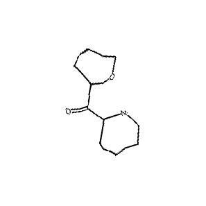 O=C(C1CCCC[N]1)C1CCCO1